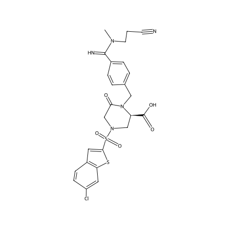 CN(CCC#N)C(=N)c1ccc(CN2C(=O)CN(S(=O)(=O)c3cc4ccc(Cl)cc4s3)C[C@@H]2C(=O)O)cc1